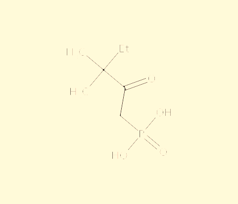 CCC(C)(C)C(=O)CP(=O)(O)O